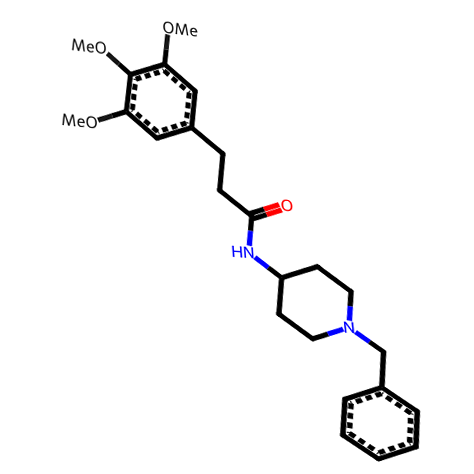 COc1cc(CCC(=O)NC2CCN(Cc3ccccc3)CC2)cc(OC)c1OC